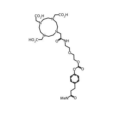 CNC(=O)CCc1ccc(OC(=O)OCCOCCNC(=O)CN2CCN(CC(=O)O)CCN(CC(=O)O)CCN(CC(=O)O)CC2)cc1